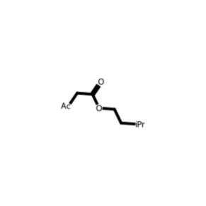 CC(=O)CC(=O)OCCC(C)C